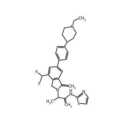 C=C(Nc1nccs1)C(C)N1Cc2c(cc(-c3ccc(C4CCN(CC)CC4)cc3)cc2C(F)F)C1=C